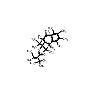 CC(C)=C(C(=O)OC(c1c(C)c(C)c2c(C)c(C)c(C)c(C)c2c1C)(C(C)(C)C)C(C)(C)C)C(C)(C)C